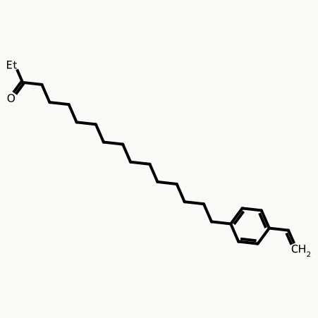 C=Cc1ccc(CCCCCCCCCCCCCCC(=O)CC)cc1